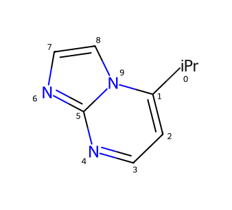 CC(C)c1ccnc2nccn12